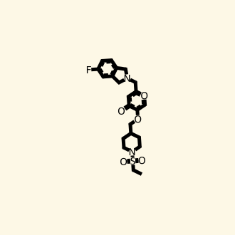 CCS(=O)(=O)N1CCC(COc2coc(CN3Cc4ccc(F)cc4C3)cc2=O)CC1